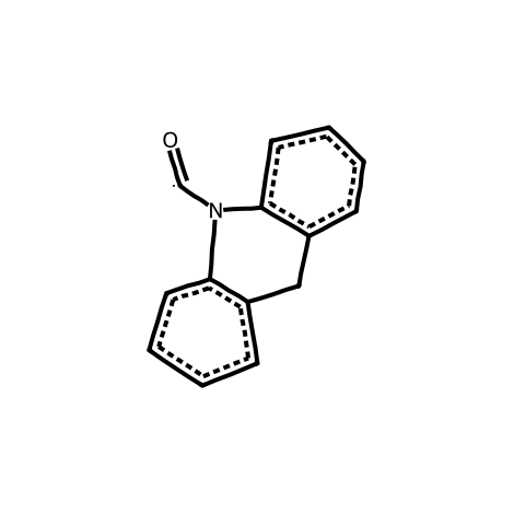 O=[C]N1c2ccccc2Cc2ccccc21